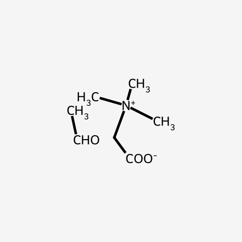 CC=O.C[N+](C)(C)CC(=O)[O-]